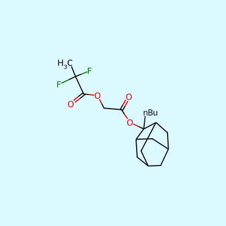 CCCCC1(OC(=O)COC(=O)C(C)(F)F)C2CC3CC(C2)CC1C3